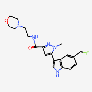 Cn1nc(C(=O)NCCN2CCOCC2)cc1-c1c[nH]c2ccc(CF)cc12